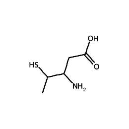 CC(S)C(N)CC(=O)O